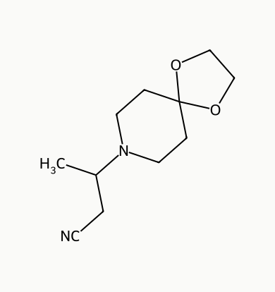 CC(CC#N)N1CCC2(CC1)OCCO2